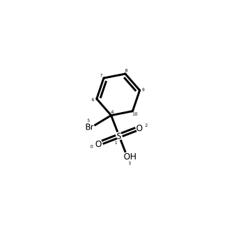 O=S(=O)(O)C1(Br)C=CC=CC1